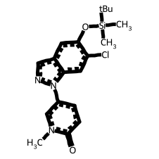 Cn1cc(-n2ncc3cc(O[Si](C)(C)C(C)(C)C)c(Cl)cc32)ccc1=O